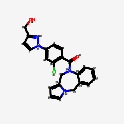 O=C(c1ccc(-n2ccc(CO)n2)cc1Cl)N1Cc2cccn2Cc2ccccc21